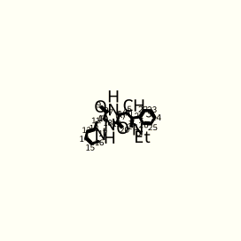 CCn1cc([C@@H](C)[C@H]2NC(=O)[C@@H](Cc3ccccn3)NC2=O)c2ccccc21